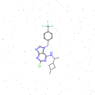 CC1CC(C(C)Nc2nc(Cl)nc3ncn(Cc4ccc(C(F)(F)F)cc4)c23)C1